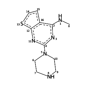 CNc1nc(N2CCNCC2)nc2sccc12